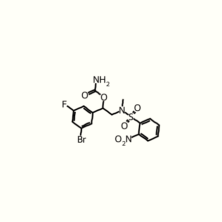 CN(CC(OC(N)=O)c1cc(F)cc(Br)c1)S(=O)(=O)c1ccccc1[N+](=O)[O-]